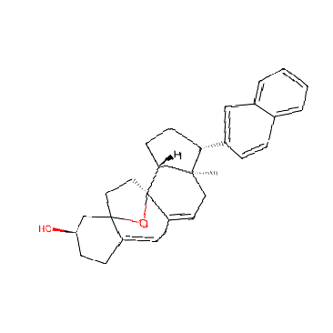 C[C@]12CC=C3C=C4CC[C@@H](O)CC45CC[C@]3(O5)[C@@H]1CC[C@@H]2c1ccc2ccccc2c1